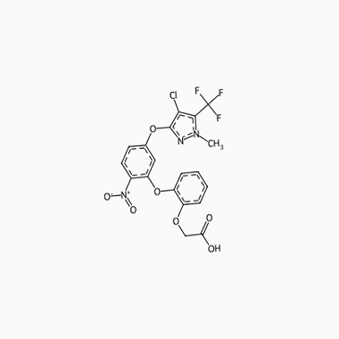 Cn1nc(Oc2ccc([N+](=O)[O-])c(Oc3ccccc3OCC(=O)O)c2)c(Cl)c1C(F)(F)F